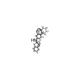 O=C(Cc1ccccc1F)Nc1ccc(N2CCCCC2=O)c(F)c1